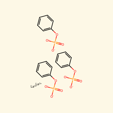 O=P([O-])([O-])Oc1ccccc1.O=P([O-])([O-])Oc1ccccc1.O=P([O-])([O-])Oc1ccccc1.[La+3].[La+3]